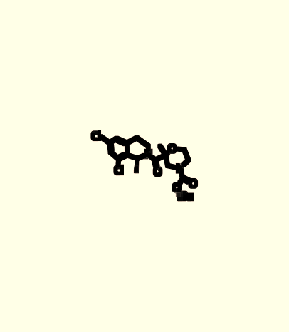 C[C@H]1c2c(Cl)cc(Cl)cc2CCN1C(=O)C1(C)CN(C(=O)OC(C)(C)C)CCO1